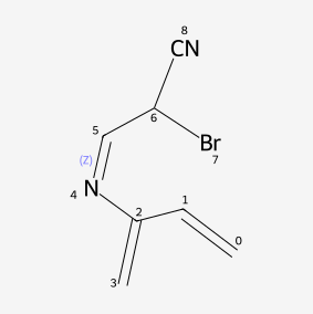 C=CC(=C)/N=C\C(Br)C#N